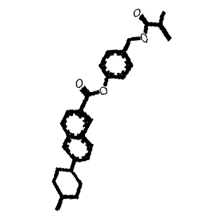 C=C(C)C(=O)OCc1ccc(OC(=O)c2ccc3cc(C4CCC(C)CC4)ccc3c2)cc1